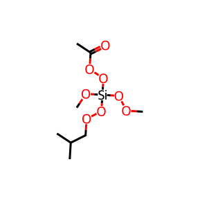 COO[Si](OC)(OOCC(C)C)OOC(C)=O